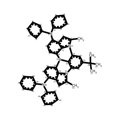 Cc1cc2c(N(c3ccccc3)c3ccccc3)ccc3c2n1-c1cc(C(C)(C)C)cc2c1B3c1ccc(N(c3ccccc3)c3ccccc3)c3cc(C)n-2c13